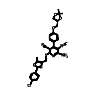 [C-]#[N+]c1c(N)nc(SCc2nc(-c3ccc(Cl)cc3)oc2C)c(C#N)c1-c1ccc(OC[C@H]2COC(C)(C)O2)cc1